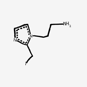 NCCn1ccnc1CI